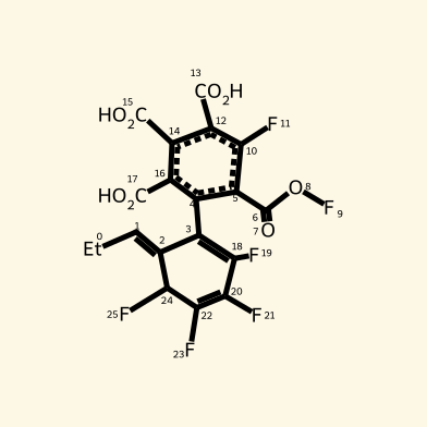 CCC=C1C(c2c(C(=O)OF)c(F)c(C(=O)O)c(C(=O)O)c2C(=O)O)=C(F)C(F)=C(F)C1F